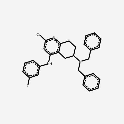 Fc1cccc(Nc2nc(Cl)nc3c2CC(N(Cc2ccccc2)Cc2ccccc2)CC3)c1